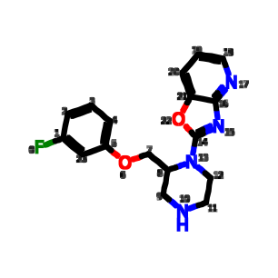 Fc1cccc(OCC2CNCCN2c2nc3ncccc3o2)c1